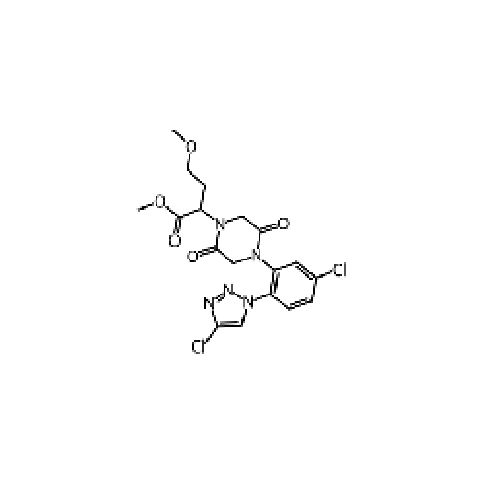 COCCC(C(=O)OC)N1CC(=O)N(c2cc(Cl)ccc2-n2cc(Cl)nn2)CC1=O